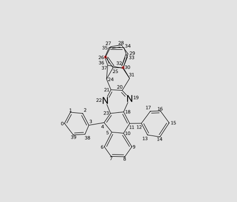 c1ccc(-c2c3ccccc3c(-c3ccccc3)c3nc4c(nc23)C2c3ccccc3C4c3ccccc32)cc1